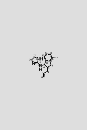 C=CCC1Cc2c(C)cccc2C1NC1=NCCN1